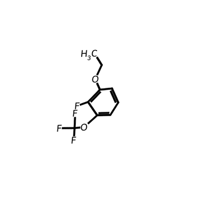 CCOc1cccc(OC(F)(F)F)c1F